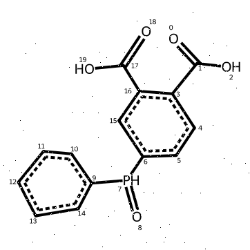 O=C(O)c1ccc([PH](=O)c2ccccc2)cc1C(=O)O